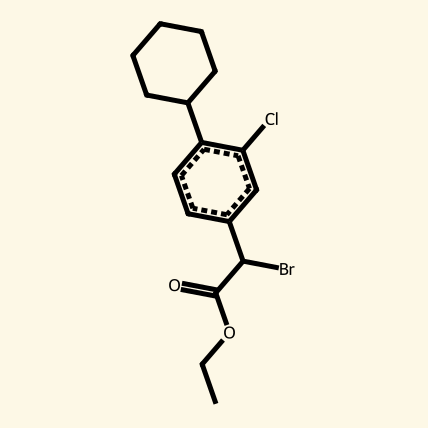 CCOC(=O)C(Br)c1ccc(C2CCCCC2)c(Cl)c1